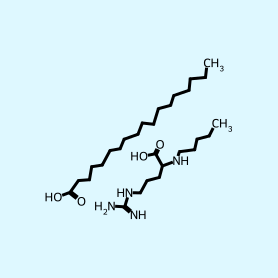 CCCCCCCCCCCCCCCCCC(=O)O.CCCCCNC(CCCNC(=N)N)C(=O)O